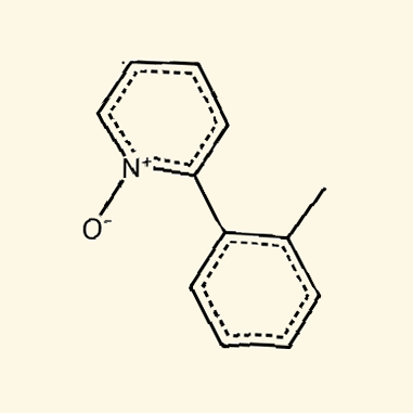 Cc1ccccc1-c1cc[c]c[n+]1[O-]